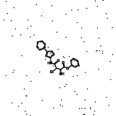 CCC(C(=N)C(=O)Oc1ccccc1)C(=O)Nc1nc(-c2ccccc2)cs1